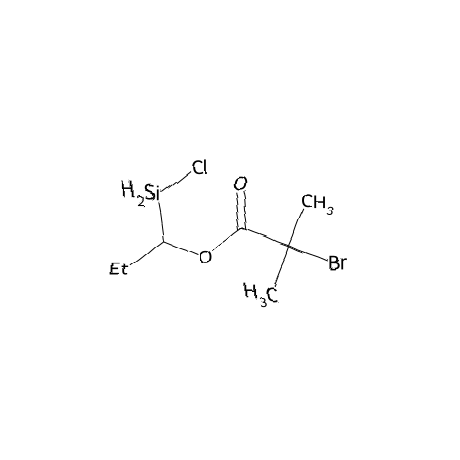 CCC(OC(=O)C(C)(C)Br)[SiH2]Cl